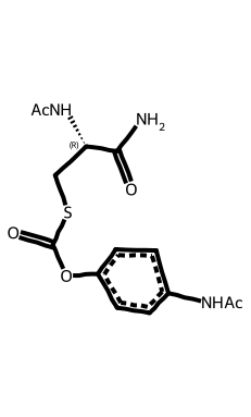 CC(=O)Nc1ccc(OC(=O)SC[C@H](NC(C)=O)C(N)=O)cc1